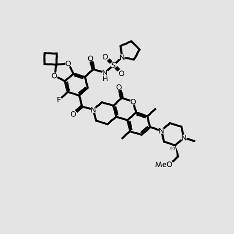 COC[C@H]1CN(c2cc(C)c3c4c(c(=O)oc3c2C)CN(C(=O)c2cc(C(=O)NS(=O)(=O)N3CCCC3)c3c(c2F)OC2(CCC2)O3)CC4)CCN1C